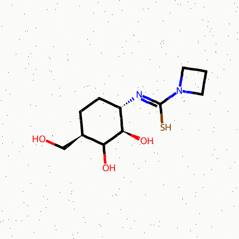 OC[C@H]1CC[C@H](/N=C(\S)N2CCC2)[C@@H](O)C1O